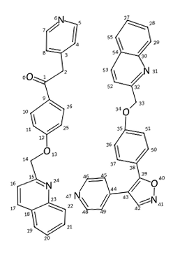 O=C(Cc1ccncc1)c1ccc(OCc2ccc3ccccc3n2)cc1.c1ccc2nc(COc3ccc(-c4oncc4-c4ccncc4)cc3)ccc2c1